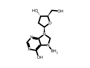 BN1CN([C@H]2C[C@H](O)[C@@H](CO)O2)c2ncnc(O)c21